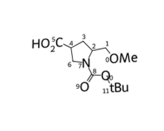 COCC1CC(C(=O)O)CN1C(=O)OC(C)(C)C